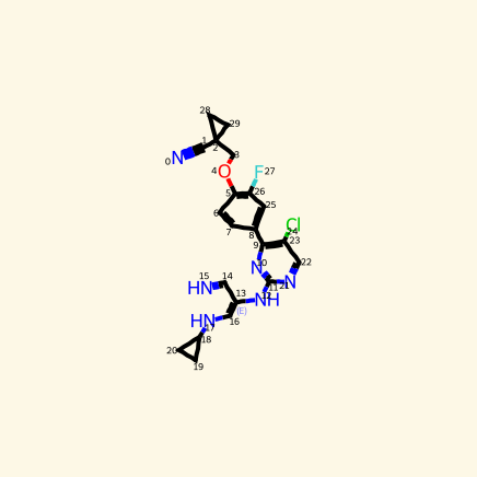 N#CC1(COc2ccc(-c3nc(N/C(C=N)=C/NC4CC4)ncc3Cl)cc2F)CC1